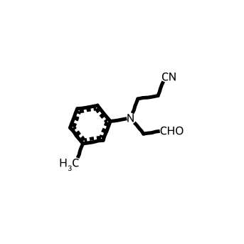 Cc1cccc(N(CC=O)CCC#N)c1